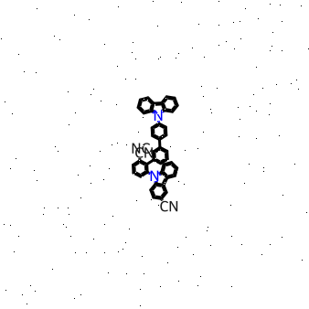 N#Cc1ccc2c(c1)c1ccccc1n2-c1cccc(C#N)c1-c1cccc(-c2ccc(-n3c4ccccc4c4ccccc43)cc2)c1C#N